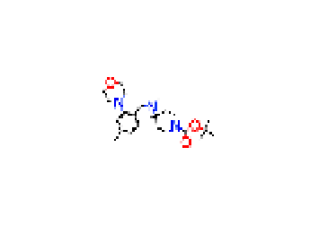 Cc1ccc(CN(C)C2(C)CCN(C(=O)OC(C)(C)C)CC2)c(N2CCOCC2)c1